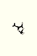 CC(C)C1OC(=O)OC1=O